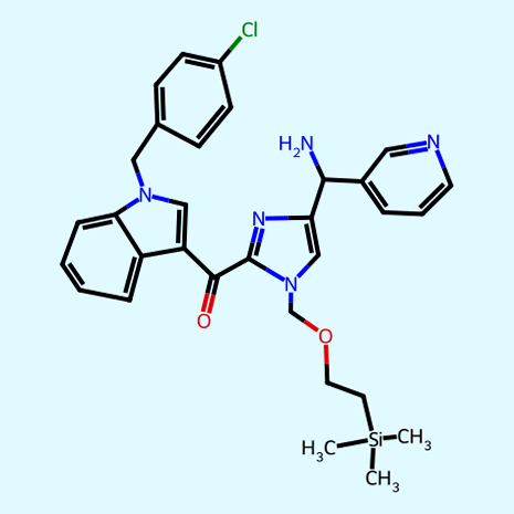 C[Si](C)(C)CCOCn1cc(C(N)c2cccnc2)nc1C(=O)c1cn(Cc2ccc(Cl)cc2)c2ccccc12